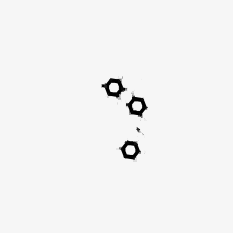 Cc1cc(C)c(Oc2ccc(OCOc3ccccc3)cc2)c(C)c1